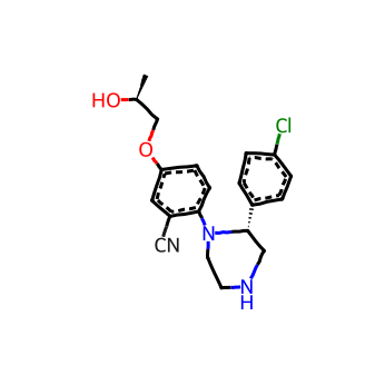 C[C@H](O)COc1ccc(N2CCNC[C@H]2c2ccc(Cl)cc2)c(C#N)c1